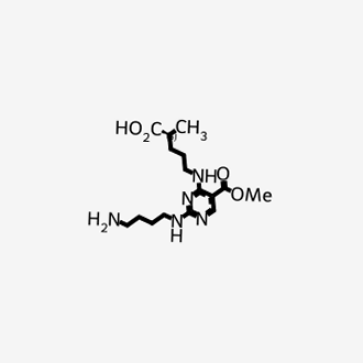 COC(=O)c1cnc(NCCCCN)nc1NCCC[C@H](C)C(=O)O